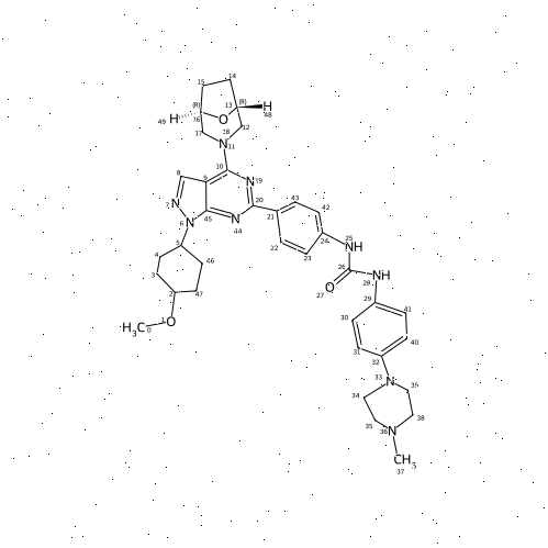 COC1CCC(n2ncc3c(N4C[C@H]5CC[C@H](C4)O5)nc(-c4ccc(NC(=O)Nc5ccc(N6CCN(C)CC6)cc5)cc4)nc32)CC1